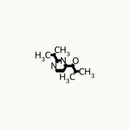 CC(C)C(=O)c1ccnc(C(C)C)n1